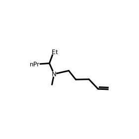 C=CCCCN(C)C(CC)CCC